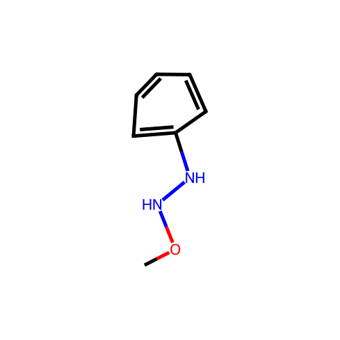 CONNc1ccccc1